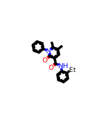 CCc1ccccc1NC(=O)c1cc(C)c(C)n(-c2ccccc2)c1=O